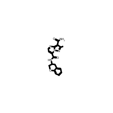 Cc1nn2c(C(=O)NC3COc4ccccc4C3)ccnc2c1C(N)=O